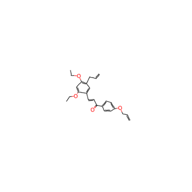 C=CCOc1ccc(C(=O)/C=C/c2cc(CC=C)c(OCC)cc2OCC)cc1